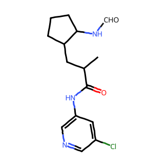 CC(CC1CCCC1NC=O)C(=O)Nc1cncc(Cl)c1